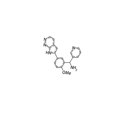 COc1ccc(-c2cc3ccnnc3[nH]2)cc1C(N)c1cccnc1